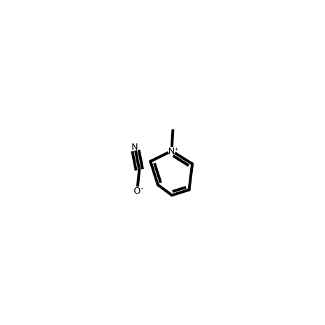 C[n+]1ccccc1.N#C[O-]